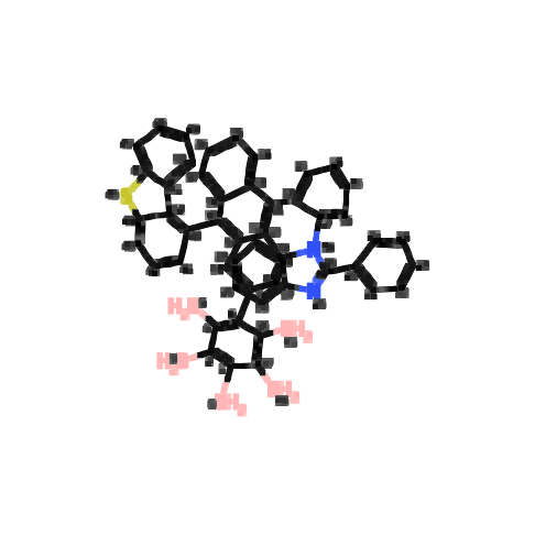 Bc1c(B)c(B)c(-c2ccc3c(-c4ccccc4-n4c(-c5ccccc5)nc5ccccc54)c4ccccc4c(-c4cccc5sc6ccccc6c45)c3c2)c(B)c1B